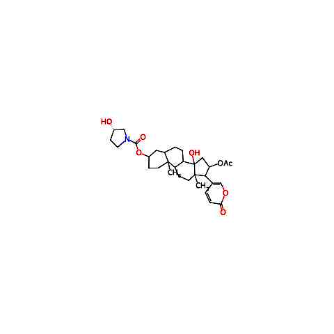 CC(=O)OC1CC2(O)C3CCC4CC(OC(=O)N5CC[C@H](O)C5)CCC4(C)C3CCC2(C)C1c1ccc(=O)oc1